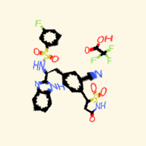 N#Cc1cc(C[C@H](NS(=O)(=O)c2cccc(F)c2)c2nc3ccccc3[nH]2)ccc1C1CC(=O)NS1(=O)=O.O=C(O)C(F)(F)F